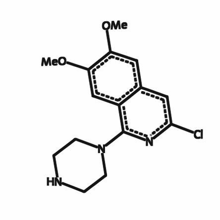 COc1cc2cc(Cl)nc(N3CCNCC3)c2cc1OC